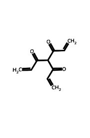 C=CC(=O)C(C(=O)C=C)C(=O)C=C